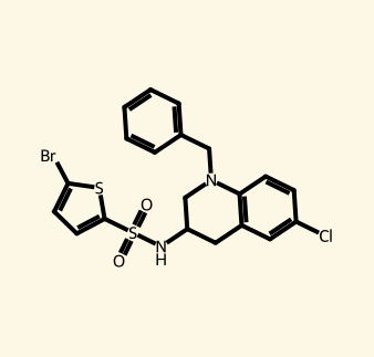 O=S(=O)(NC1Cc2cc(Cl)ccc2N(Cc2ccccc2)C1)c1ccc(Br)s1